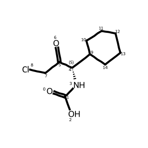 O=C(O)N[C@H](C(=O)CCl)C1CCCCC1